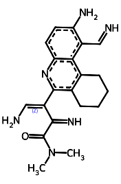 CN(C)C(=O)C(=N)/C(=C\N)c1nc2ccc(N)c(C=N)c2c2c1CCCC2